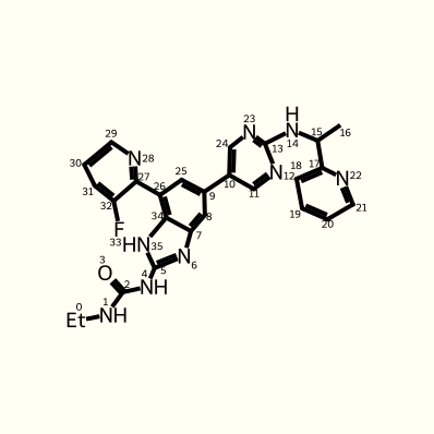 CCNC(=O)Nc1nc2cc(-c3cnc(NC(C)c4ccccn4)nc3)cc(-c3ncccc3F)c2[nH]1